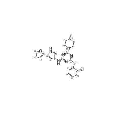 CN1CCN(c2nc(Nc3cc(-c4ccco4)[nH]n3)nc(Sc3ccccc3Cl)n2)CC1